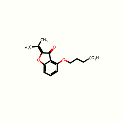 CC(C)=C1Oc2cccc(OCCCC(=O)O)c2C1=O